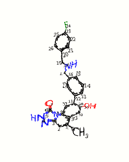 Cc1cc2n[nH]c(=O)n2c2cc(-c3cccc(CNCc4ccc(F)cc4)c3)c(O)cc12